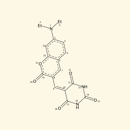 CCN(CC)c1ccc2cc(C=C3C(=O)NC(=O)NC3=O)c(=O)oc2c1